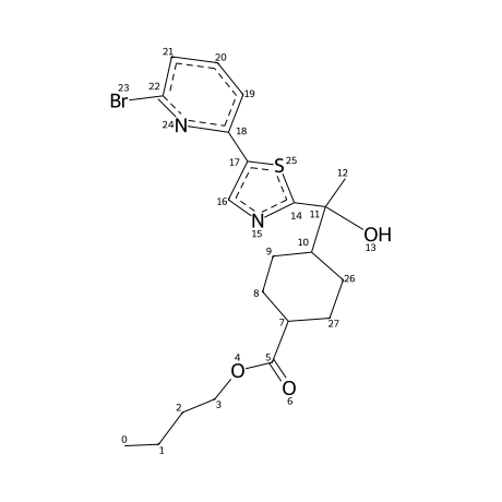 CCCCOC(=O)C1CCC(C(C)(O)c2ncc(-c3cccc(Br)n3)s2)CC1